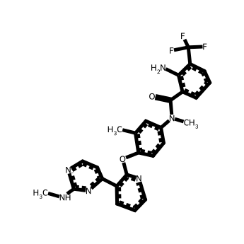 CNc1nccc(-c2cccnc2Oc2ccc(N(C)C(=O)c3cccc(C(F)(F)F)c3N)cc2C)n1